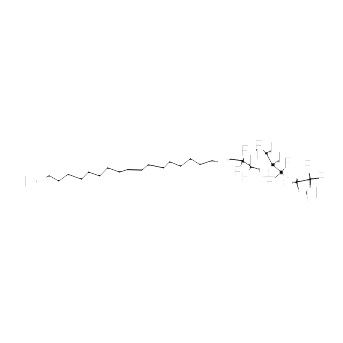 CCCCCCCCCCCCCCCCCCOCC(F)(F)C(F)(F)OC(F)(C(F)(F)F)C(F)(F)OC(F)(Cl)C(F)(F)Cl